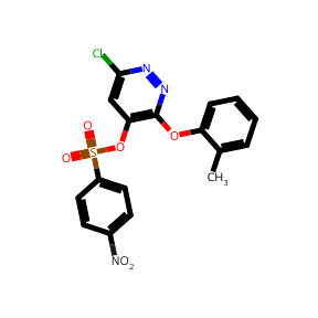 Cc1ccccc1Oc1nnc(Cl)cc1OS(=O)(=O)c1ccc([N+](=O)[O-])cc1